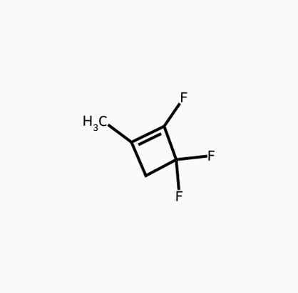 CC1=C(F)C(F)(F)C1